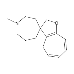 CN1CCCC2(CC1)COC1=C2CC=CC=C1